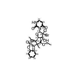 CCOC(=O)C(C)(COC)NP(=O)(OC[C@H]1O[C@@H](n2c(=O)cc[nH]c2=O)[C@](Cl)(Br)[C@@H]1O)Oc1ccccc1